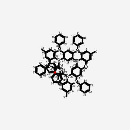 Cc1cc2c3c(c1)N(c1ccccc1)c1cc4c(cc1B3c1cc3c(cc1O2)N(c1ccccc1)c1cc(C)cc2c1B3c1sc3ccccc3c1O2)B1c2sc3ccccc3c2N(c2ccccc2)c2cc(C)cc(c21)N4c1ccccc1